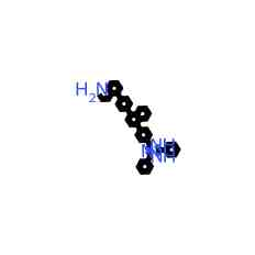 C/C=C\c1c(N)cccc1-c1ccc(-c2ccc(-c3ccc(C4N=C(c5ccccc5)NC(c5ccccc5)N4)cc3)c3ccccc23)cc1